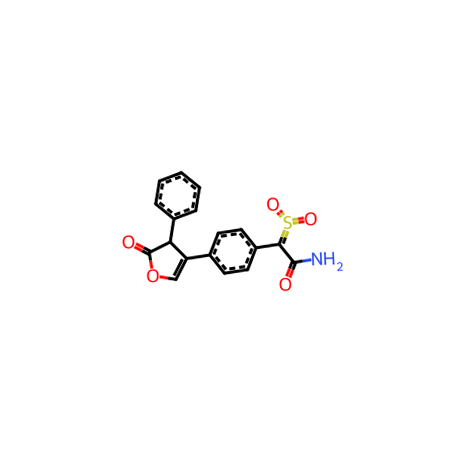 NC(=O)C(c1ccc(C2=COC(=O)C2c2ccccc2)cc1)=S(=O)=O